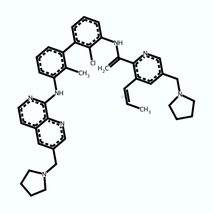 C=C(Nc1cccc(-c2cccc(Nc3nccc4cc(CN5CCCC5)cnc34)c2C)c1Cl)c1ncc(CN2CCCC2)cc1/C=C\C